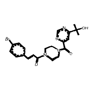 CC(C)(O)c1cc(C(=O)N2CCN(C(=O)/C=C/c3ccc(Br)cc3)CC2)ncn1